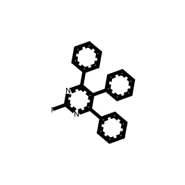 Ic1nc(-c2ccccc2)c(-c2ccccc2)c(-c2ccccc2)n1